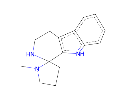 CN1CCCC12NCCc1c2[nH]c2ccccc12